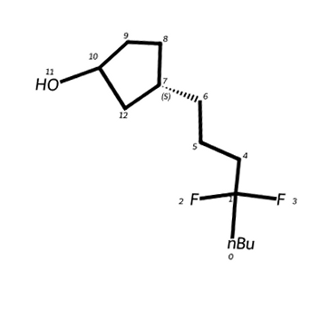 CCCCC(F)(F)CCC[C@H]1CCC(O)C1